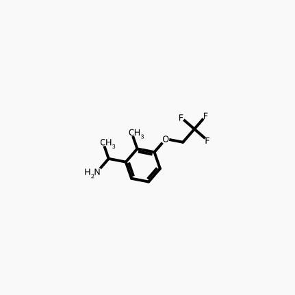 Cc1c(OCC(F)(F)F)cccc1C(C)N